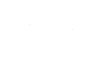 c1cc(-c2cccc(-n3c4ccccc4c4ccccc43)c2)cc(-c2ccc3c4ccccc4n4c3c2Oc2ccccc2-4)c1